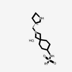 CC(C)S(=O)(=O)NC1CCC2(CC1)CN(C[C@@H]1CCNC1)C2.Cl